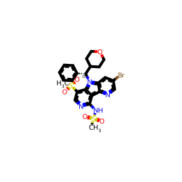 CS(=O)(=O)Nc1ncc(S(C)(=O)=O)c2c1c1ncc(Br)cc1n2[C@H](c1ccccc1)C1CCOCC1